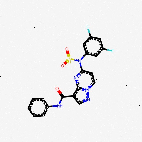 O=C(Nc1ccccc1)c1cnn2ccc(N(c3cc(F)cc(F)c3)[SH](=O)=O)nc12